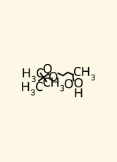 CCC(C)(C)C(=O)OCCCC(C)C(=O)O